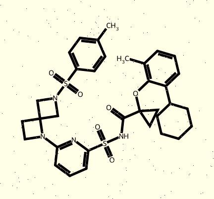 Cc1ccc(S(=O)(=O)N2CC3(CCN3c3cccc(S(=O)(=O)NC(=O)C4(Oc5c(C)cccc5C5CCCCC5)CC4)n3)C2)cc1